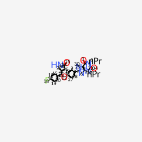 CCCn1c(=O)c2c(nc(-c3ccc(OC(c4ccc(F)cc4)C4CNC(=O)C4)cc3)n2C)n(CCC)c1=O